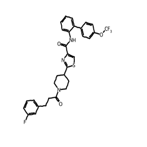 O=C(Nc1ccccc1-c1ccc(OC(F)(F)F)cc1)c1csc(C2CCN(C(=O)CCc3cccc(F)c3)CC2)n1